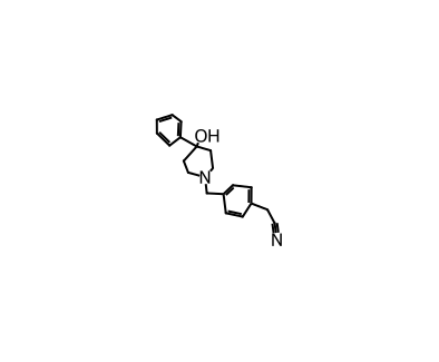 N#CCc1ccc(CN2CCC(O)(c3ccccc3)CC2)cc1